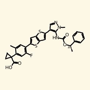 Cc1cc(-c2cc3sc(-c4cnn(C)c4NC(=O)O[C@H](C)c4ccccc4)cc3s2)c(F)cc1C1(C(=O)O)CC1